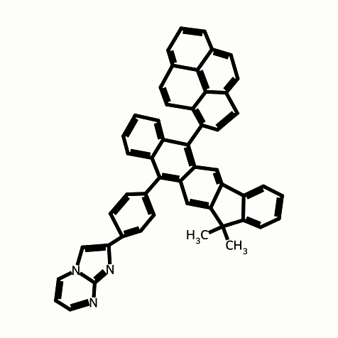 CC1(C)c2ccccc2-c2cc3c(-c4ccc5ccc6cccc7ccc4c5c67)c4ccccc4c(-c4ccc(-c5cn6cccnc6n5)cc4)c3cc21